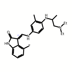 CCN(CC)CC(C)Nc1ccc(N/C=C2/C(=O)Nc3cccc(F)c32)cc1C